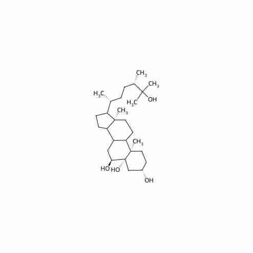 C[C@H](CC[C@H](C)C(C)(C)O)C1CCC2C3C[C@H](O)[C@]4(O)C[C@@H](O)CC[C@]4(C)C3CC[C@@]21C